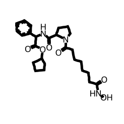 O=C(CCCCCCC(=O)N1CCCC1C(=O)NC(C(=O)OC1CCCC1)c1ccccc1)NO